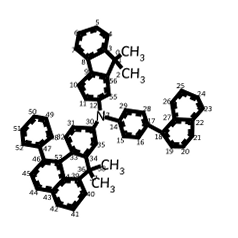 CC1(C)c2ccccc2-c2ccc(N(c3ccc(-c4cccc5ccccc45)cc3)c3ccc4c(c3)C(C)(C)c3cccc5ccc(-c6ccccc6)c-4c35)cc21